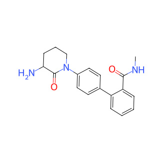 CNC(=O)c1ccccc1-c1ccc(N2CCCC(N)C2=O)cc1